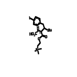 CC(C)(C)C(Cc1ccc(I)cc1)[C@H](NC(=O)O)C(=O)OCC[Si](C)(C)C